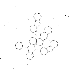 c1ccc(-c2c3ccccc3c(-c3ccc4sc5cccc(-c6c7ccccc7c(-c7cccc8c7oc7ccccc78)c7ccccc67)c5c4c3)c3ccccc23)cc1